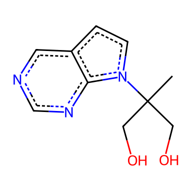 CC(CO)(CO)n1ccc2cncnc21